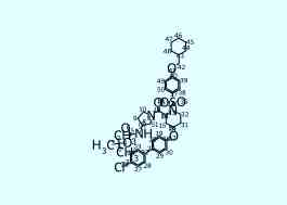 CC(C)(C)OC(=O)N[C@H]1CCN(C(=O)[C@@H]2C[C@@H](Oc3ccc(-c4ccc(Cl)cc4)cc3)CCN2S(=O)(=O)c2ccc(OCC3CCCCC3)cc2)C1